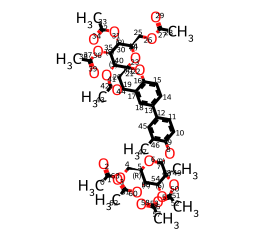 CC(=O)OC[C@H]1O[C@H](Oc2ccc(-c3ccc4c(c3)CC[C@]3(O4)O[C@H](COC(C)=O)[C@@H](OC(C)=O)[C@H](OC(C)=O)[C@@H]3OC(C)=O)cc2C)[C@@](C)(OC(C)=O)[C@@H](OC(C)=O)[C@@H]1OC(C)=O